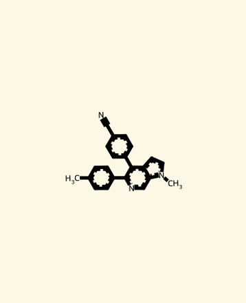 Cc1ccc(-c2ncc3c(ccn3C)c2-c2ccc(C#N)cc2)cc1